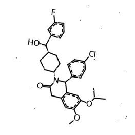 COc1cc2c(cc1OC(C)C)C(c1ccc(Cl)cc1)N([C@H]1CC[C@H](C(O)c3cccc(F)c3)CC1)C(=O)C2